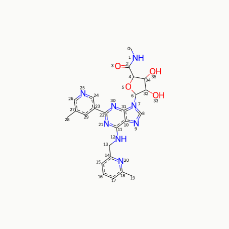 CNC(=O)C1OC(n2cnc3c(NCc4cccc(C)n4)nc(-c4cncc(C)c4)nc32)C(O)C1O